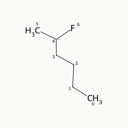 CCCC[C](C)F